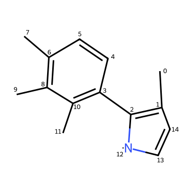 CC1=C(c2ccc(C)c(C)c2C)[N]C=C1